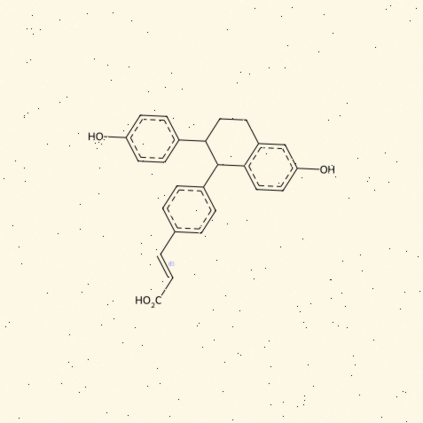 O=C(O)/C=C/c1ccc(C2c3ccc(O)cc3CCC2c2ccc(O)cc2)cc1